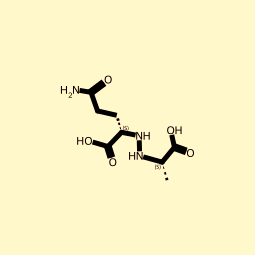 C[C@H](NN[C@@H](CCC(N)=O)C(=O)O)C(=O)O